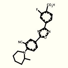 CC1CCCCN1c1ccc(-c2nc(-c3ccc(C(=O)O)c(F)c3)no2)cc1C#N